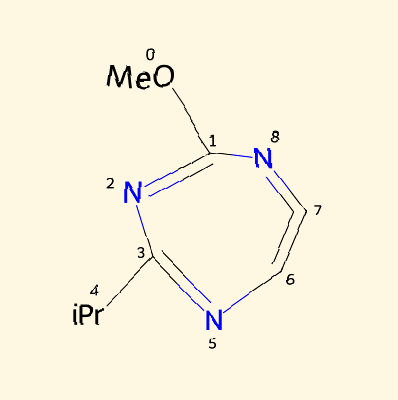 COC1=NC(C(C)C)=NC=C=N1